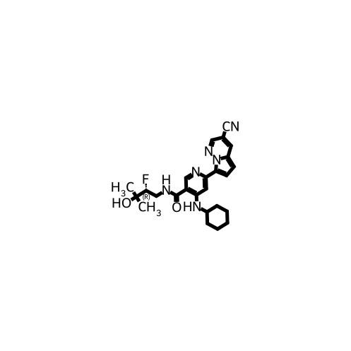 CC(C)(O)[C@H](F)CNC(=O)c1cnc(-c2ccc3cc(C#N)cnn23)cc1NC1CCCCC1